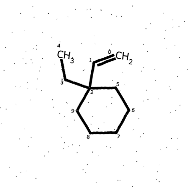 C=CC1([CH]C)CCCCC1